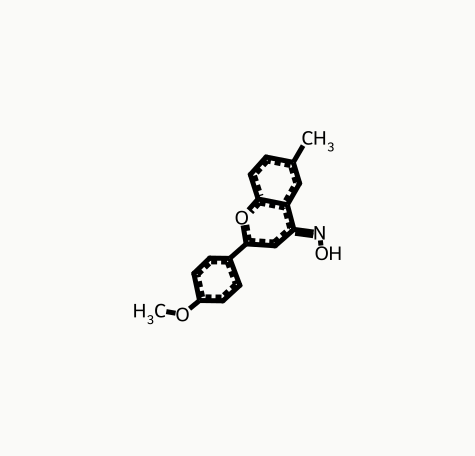 COc1ccc(-c2c/c(=N\O)c3cc(C)ccc3o2)cc1